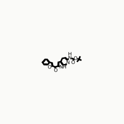 CC(C)(C)OC(=O)NC1=CCc2cc(C(=O)c3cc4ccccc4o3)[nH]c2C=N1